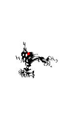 [2H]C([2H])([2H])N(C1CN(c2nc(N3C[C@@H](C)N(C(=O)C=C)C[C@@H]3C)c3cc(Cl)c(-c4c(C)ccc5[nH]nc(C6CC6)c45)c(F)c3n2)C1)C([2H])([2H])[2H]